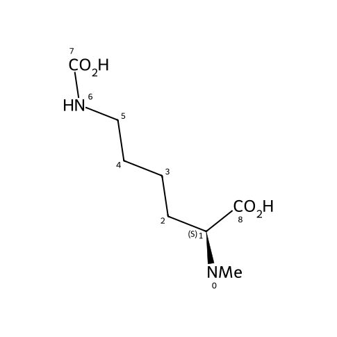 CN[C@@H](CCCCNC(=O)O)C(=O)O